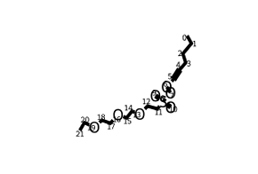 CCCCC#COOS(=O)(=O)CCOCCOCCOCC